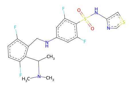 CC(c1c(F)ccc(F)c1CNc1cc(F)c(S(=O)(=O)Nc2cscn2)c(F)c1)N(C)C